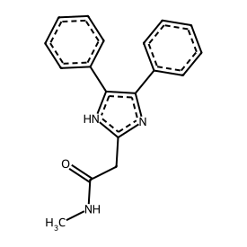 CNC(=O)Cc1nc(-c2ccccc2)c(-c2ccccc2)[nH]1